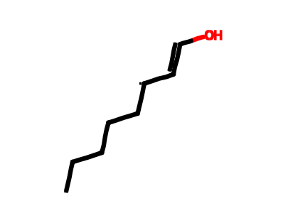 CCCCC[CH]C=CO